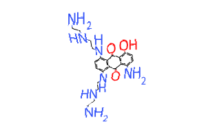 NCCNCCNc1ccc(NCCNCCN)c2c1C(=O)c1c(N)ccc(O)c1C2=O